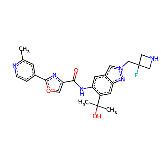 Cc1cc(-c2nc(C(=O)Nc3cc4cn(CC5(F)CNC5)nc4cc3C(C)(C)O)co2)ccn1